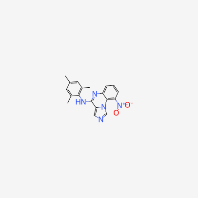 Cc1cc(C)c(Nc2nc3cccc([N+](=O)[O-])c3n3cncc23)c(C)c1